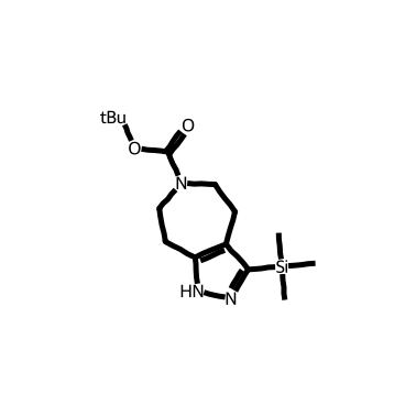 CC(C)(C)OC(=O)N1CCc2[nH]nc([Si](C)(C)C)c2CC1